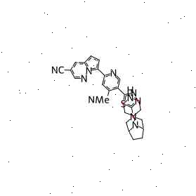 CNc1cc(-c2ccc3cc(C#N)cnn23)ncc1-c1nnc(N2CC3CCC(C2)N3C2CCNCC2)s1